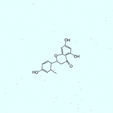 CC1C=C(O)C=CC1C1CC(=O)c2c(O)cc(O)cc2O1